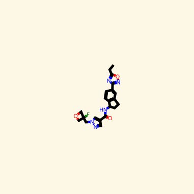 CCc1nc(-c2ccc3c(c2)CCC3NC(=O)c2cnn(CC3(F)COC3)c2)no1